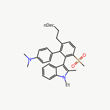 CCCCCCCCCCCCc1ccc(S(C)(=O)=O)c(-c2c(C)n(CC)c3ccccc23)c1-c1ccc(N(C)C)cc1